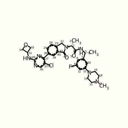 C[C@H](C(=O)N[C@H](C)c1cc(F)cc(N2CCN(C)CC2)c1)N1Cc2ccc(-c3nc(NC4COC4)ncc3Cl)cc2C1=O